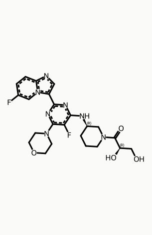 O=C([C@H](O)CO)N1CCC[C@@H](Nc2nc(-c3cnc4ccc(F)cn34)nc(N3CCOCC3)c2F)C1